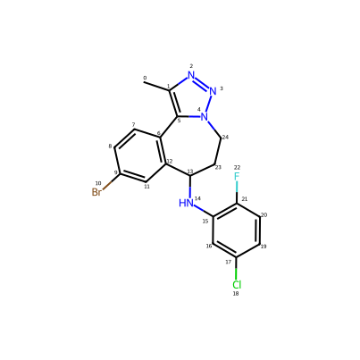 Cc1nnn2c1-c1ccc(Br)cc1C(Nc1cc(Cl)ccc1F)CC2